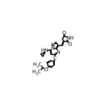 CC(C)Oc1ccc(Cc2cc(NC3CC3)n3ncc(/C=C4\CC(=O)NC4=O)c3n2)cc1